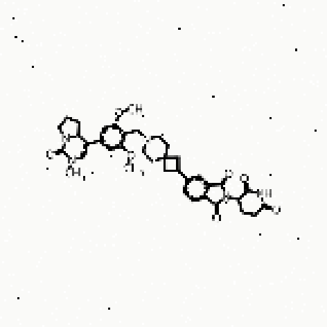 COc1cc(C2=CN(C)C(=O)N3CCCC23)cc(OC)c1CN1CCC2(CC1)CC(c1ccc3c(c1)C(=O)N(C1CCC(=O)NC1=O)C3=O)C2